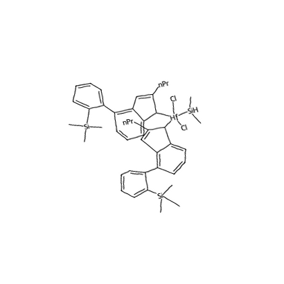 CCCC1=Cc2c(-c3ccccc3[Si](C)(C)C)cccc2[CH]1[Hf]([Cl])([Cl])([CH]1C(CCC)=Cc2c(-c3ccccc3[Si](C)(C)C)cccc21)[SiH](C)C